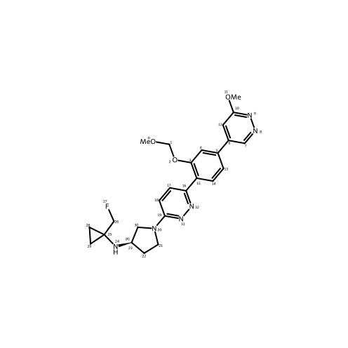 COCOc1cc(-c2cnnc(OC)c2)ccc1-c1ccc(N2CC[C@@H](NC3(CF)CC3)C2)nn1